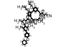 Cc1nc(-c2ccc(OC3CCCCC3)cc2)cc(N)c1C(=O)NC(CCN)C(=O)N(C)C1C(=O)NC(C)C(=O)NC(C(=O)NCC#N)Cc2ccc(OCCN)c(c2)-c2cc1ccc2OCCN